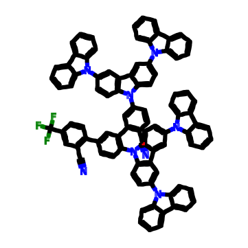 N#Cc1cc(C(F)(F)F)ccc1-c1ccc(-n2c3ccc(-n4c5ccccc5c5ccccc54)cc3c3cc(-n4c5ccccc5c5ccccc54)ccc32)c(-c2cc(-n3c4ccc(-n5c6ccccc6c6ccccc65)cc4c4cc(-n5c6ccccc6c6ccccc65)ccc43)ccc2C#N)c1